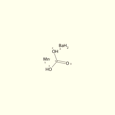 O=C(O)O.[BaH2].[Mn]